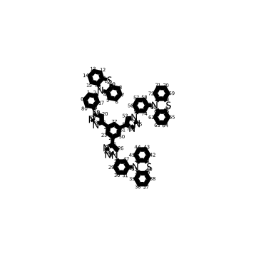 c1cc(N2c3ccccc3Sc3ccccc32)cc(-n2cc(-c3cc(-c4cn(-c5cccc(N6c7ccccc7Sc7ccccc76)c5)nn4)cc(-c4cn(-c5cccc(N6c7ccccc7Sc7ccccc76)c5)nn4)c3)nn2)c1